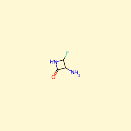 NC1C(=O)NC1F